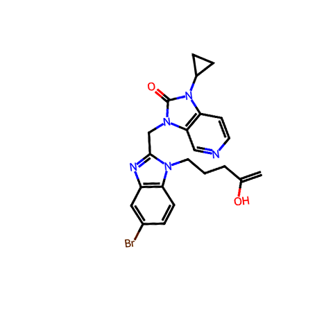 C=C(O)CCCn1c(Cn2c(=O)n(C3CC3)c3ccncc32)nc2cc(Br)ccc21